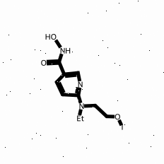 CCN(CCOI)c1ccc(C(=O)NO)cn1